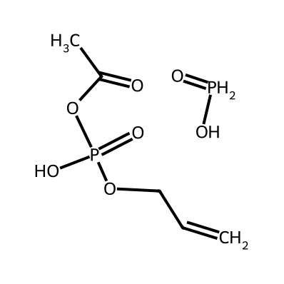 C=CCOP(=O)(O)OC(C)=O.O=[PH2]O